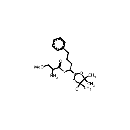 COCC(N)C(=O)N[C@@H](CCCc1ccccc1)B1OC(C)(C)C(C)(C)O1